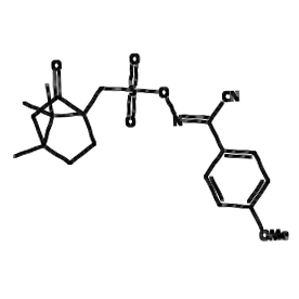 COc1ccc(/C(C#N)=N/OS(=O)(=O)CC23CCC(C)(CC2=O)C3(C)C)cc1